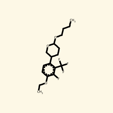 CCCCOC1CCC(c2ccc(OCC)c(F)c2C(F)(F)F)CO1